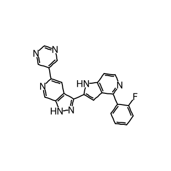 Fc1ccccc1-c1nccc2[nH]c(-c3n[nH]c4cnc(-c5cncnc5)cc34)cc12